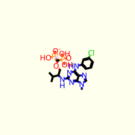 CC(C)C(CO/C(=[P+](/[O-])O)P(=O)(O)O)Nc1nc(Nc2cccc(Cl)c2)c2ncn(C)c2n1